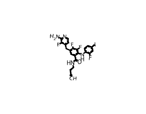 C#CCCNC(=O)c1cc(Cc2ccnc(N)c2F)c(F)c(F)c1Nc1ccc(I)cc1F